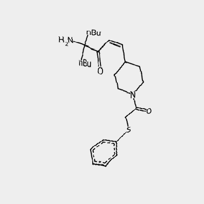 CCCCC(N)(CCCC)C(=O)/C=C\C1CCN(C(=O)CSc2ccccc2)CC1